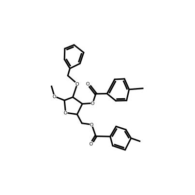 COC1OC(COC(=O)c2ccc(C)cc2)C(OC(=O)c2ccc(C)cc2)C1OCc1ccccc1